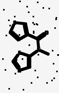 CN(C(=O)c1ccsc1)c1cncs1